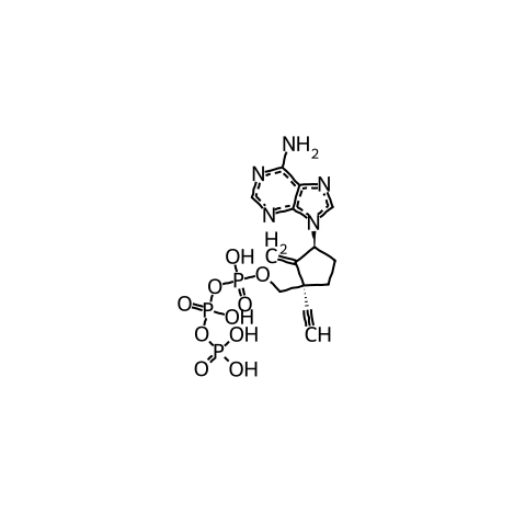 C#C[C@@]1(COP(=O)(O)OP(=O)(O)OP(=O)(O)O)CC[C@H](n2cnc3c(N)ncnc32)C1=C